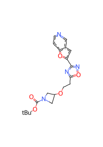 CC(C)(C)OC(=O)N1CC(OCCc2nc(-c3cc4cnccc4o3)no2)C1